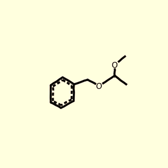 CO[C](C)OCc1ccccc1